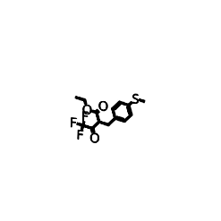 CCOC(=O)C(Cc1ccc(SC)cc1)C(=O)C(F)(F)F